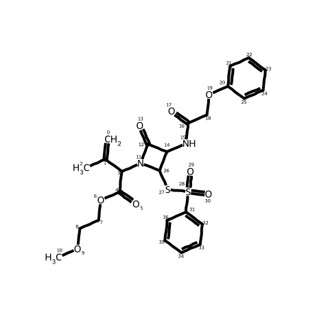 C=C(C)C(C(=O)OCCOC)N1C(=O)C(NC(=O)COc2ccccc2)C1SS(=O)(=O)c1ccccc1